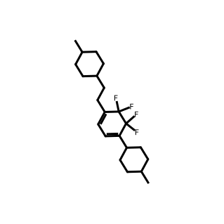 CC1CCC(CCC2=CC=C(C3CCC(C)CC3)C(F)(F)C2(F)F)CC1